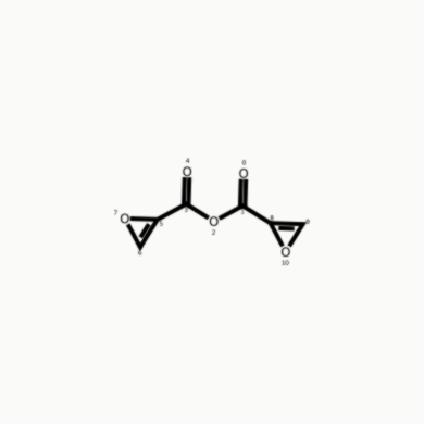 O=C(OC(=O)C1=CO1)C1=CO1